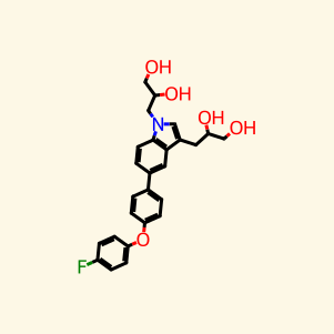 OCC(O)Cc1cn(CC(O)CO)c2ccc(-c3ccc(Oc4ccc(F)cc4)cc3)cc12